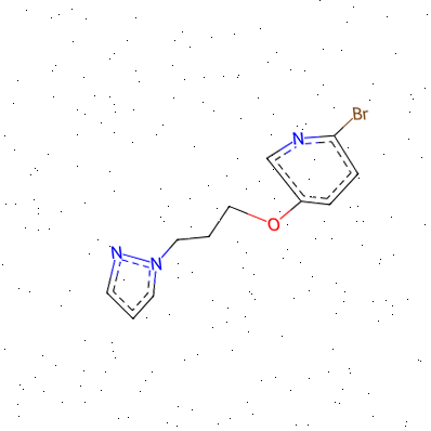 Brc1ccc(OCCCn2cccn2)cn1